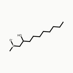 CCCCCCCCC(O)C[S+](C)[O-]